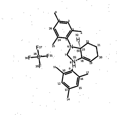 Cc1cc(C)c(N2C[N@@H+](c3c(C)cc(C)cc3C)C3=CCCC[C@@H]32)c(C)c1.F[B-](F)(F)F